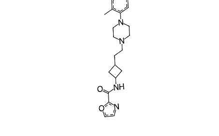 Cc1c(Cl)cccc1N1CCN(CCC2CC(NC(=O)c3ncco3)C2)CC1